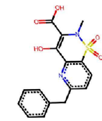 CN1C(C(=O)O)=C(O)c2nc(Cc3ccccc3)ccc2S1(=O)=O